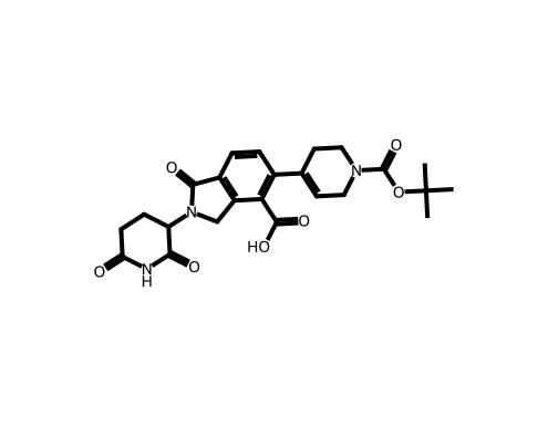 CC(C)(C)OC(=O)N1CC=C(c2ccc3c(c2C(=O)O)CN(C2CCC(=O)NC2=O)C3=O)CC1